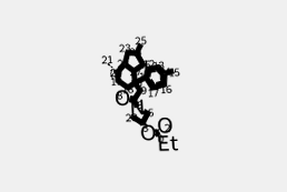 CCC(=O)OC1CN(C(=O)CC2(c3ccc(C)cc3)CC[C@H](C)C3CC(C)CC32)C1